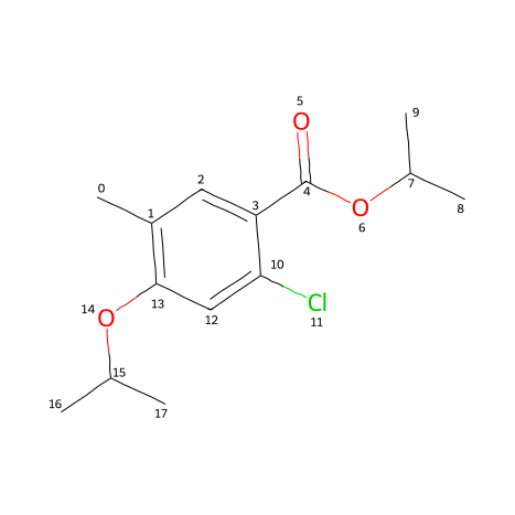 Cc1cc(C(=O)OC(C)C)c(Cl)cc1OC(C)C